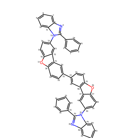 c1ccc(-c2nc3ccccc3n2-c2ccc3oc4ccc(-c5ccc6oc7ccc(-n8c(-c9ccccc9)nc9ccccc98)cc7c6c5)cc4c3c2)cc1